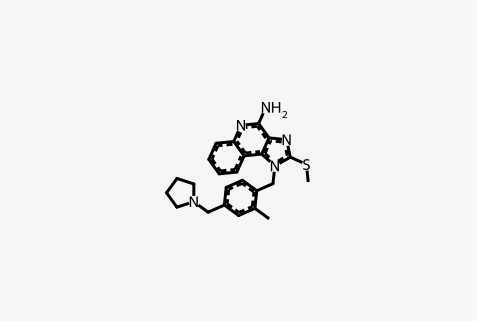 CSc1nc2c(N)nc3ccccc3c2n1Cc1ccc(CN2CCCC2)cc1C